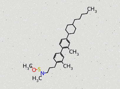 CCCCCC1CCC(c2ccc(-c3ccc(CCCN(C)SOC)c(C)c3)c(C)c2)CC1